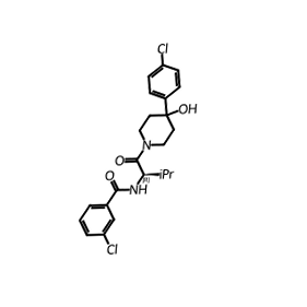 CC(C)[C@@H](NC(=O)c1cccc(Cl)c1)C(=O)N1CCC(O)(c2ccc(Cl)cc2)CC1